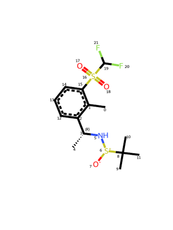 Cc1c([C@@H](C)N[S+]([O-])C(C)(C)C)cccc1S(=O)(=O)C(F)F